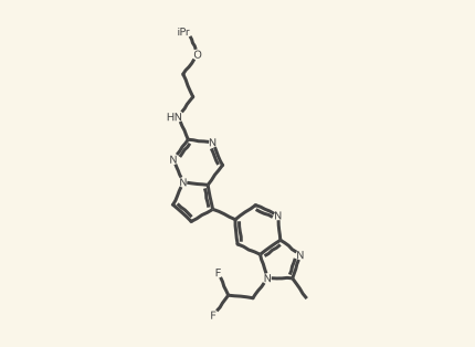 Cc1nc2ncc(-c3ccn4nc(NCCOC(C)C)ncc34)cc2n1CC(F)F